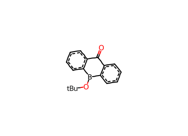 CC(C)(C)OB1c2ccccc2C(=O)c2ccccc21